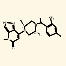 CC[C@@H]1CN(c2cc(=O)n(C)c3c[nH]nc23)[C@@H](C)CN1C(C)c1ccc(F)cc1C(F)(F)F